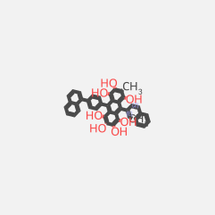 C/C=C(\C=C/c1ccccc1)c1c2c(O)c(C)c(O)c(O)c2c(-c2ccc(-c3cccc4ccccc34)cc2)c2c(O)c(O)c(O)c(O)c12